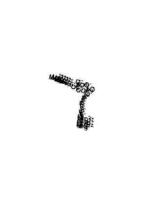 O=P([O-])([O-])[O-].O=P([O-])([O-])[O-].[F-].[F-].[F-].[F-].[F-].[F-].[F-].[F-].[F-].[F-].[F-].[F-].[Mg+2].[Mg+2].[Mg+2].[Mg+2].[Mg+2].[Mg+2].[Mg+2].[Mg+2].[Mg+2]